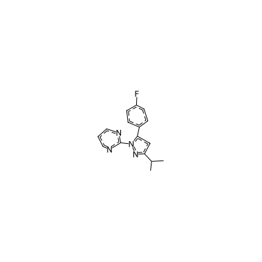 CC(C)c1cc(-c2ccc(F)cc2)n(-c2ncccn2)n1